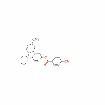 COC1=CCC(C2(C3C=CC(OC(=O)C4C=CC(O)CC4)CC3)CCCCC2)C=C1